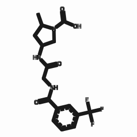 CC1CC(NC(=O)CNC(=O)c2cccc(C(F)(F)F)c2)CN1C(=O)O